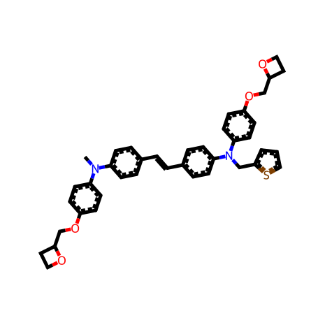 CN(c1ccc(C=Cc2ccc(N(Cc3cccs3)c3ccc(OCC4CCO4)cc3)cc2)cc1)c1ccc(OCC2CCO2)cc1